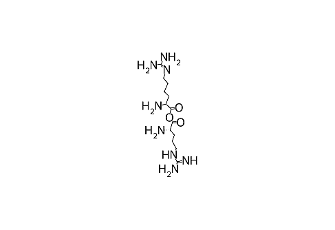 N=C(N)NCCC[C@H](N)C(=O)OC(=O)C(N)CCCCN=C(N)N